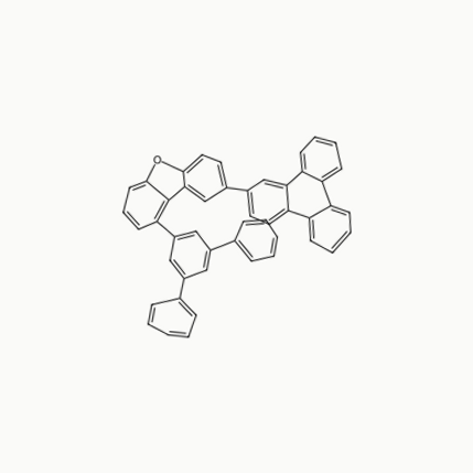 c1ccc(-c2cc(-c3ccccc3)cc(-c3cccc4oc5ccc(-c6ccc7c8ccccc8c8ccccc8c7c6)cc5c34)c2)cc1